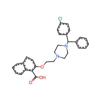 O=C(O)c1c(OCCN2CCN(C(c3ccccc3)c3ccc(Cl)cc3)CC2)ccc2ccccc12